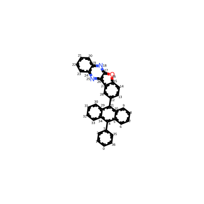 c1ccc(-c2c3ccccc3c(-c3ccc4oc5nc6ccccc6nc5c4c3)c3ccccc23)cc1